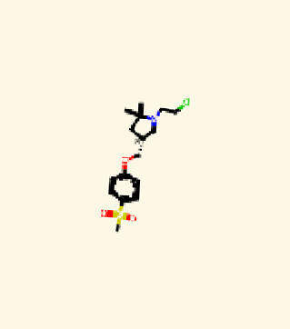 CC1(C)C[C@@H](COc2ccc(S(C)(=O)=O)cc2)CN1CCCl